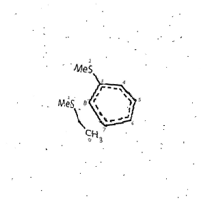 CSC.CSc1ccccc1